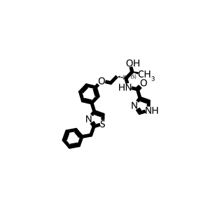 C[C@H](O)[C@@H](CCOc1cccc(-c2csc(Cc3ccccc3)n2)c1)NC(=O)c1c[nH]cn1